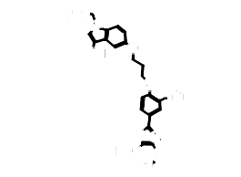 CCCc1cc(-c2nc(OCC)c(C)s2)ccc1OCCCOc1ccc2c(c1)c(C)cn2CC(=O)O